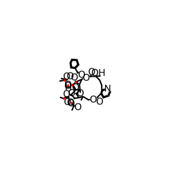 CC(=O)OCC12C(OC(C)=O)C(OC(C)=O)C3C(OC(C)=O)C14OC3(C)COC(=O)c1cccnc1CCC(C)(O)C(=O)OC(C(OC(=O)c1ccccc1)C2OC(C)=O)C4(C)O